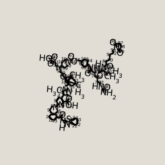 Cc1c(-c2ccc(N3CCc4cccc(C(=O)Nc5nc6ccccc6s5)c4C3)nc2C(=O)O)cnn1CC12CC3(C)CC(C)(C1)CC(OCCN(CCS(=O)(=O)O)C1CCN(C(=O)OCc4ccc(NC(=O)[C@H](CCCCNC(N)=O)NC(=O)[C@@H](NC(=O)CCCCCN5C(=O)C=CC5=O)C(C)C)cc4)CC1)(C3)C2